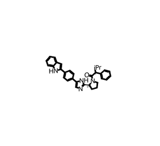 CC(C)[C](C(=O)N1CCC[C@H]1c1ncc(-c2ccc(-c3cc4ccccc4[nH]3)cc2)[nH]1)c1ccccc1